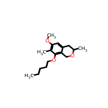 CCCCCOc1c(C)c(OC)cc2c1COC(C)C2